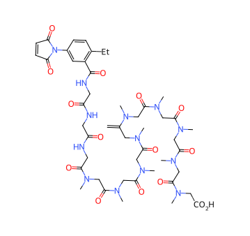 C=C(CN(C)C(=O)CN(C)C(=O)CN(C)C(=O)CN(C)C(=O)CNC(=O)CNC(=O)CNC(=O)c1cc(N2C(=O)C=CC2=O)ccc1CC)N(C)CC(=O)N(C)CC(=O)N(C)CC(=O)N(C)CC(=O)N(C)CC(=O)O